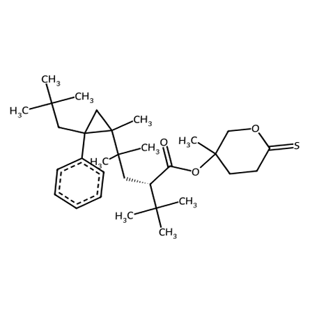 CC(C)(C)CC1(c2ccccc2)CC1(C)C(C)(C)C[C@H](C(=O)OC1(C)CCC(=S)OC1)C(C)(C)C